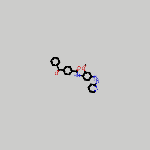 COc1cc(/N=N\c2ccccn2)ccc1NC(=O)c1ccc(C(=O)c2ccccc2)cc1